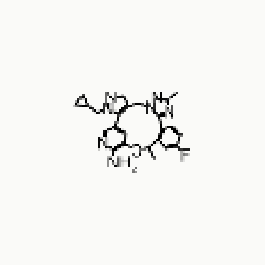 Cc1nc2n(n1)Cc1cnn(CC3CC3)c1-c1cnc(N)c(c1)OC(C)c1cc(F)ccc1-2